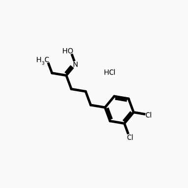 CCC(CCCc1ccc(Cl)c(Cl)c1)=NO.Cl